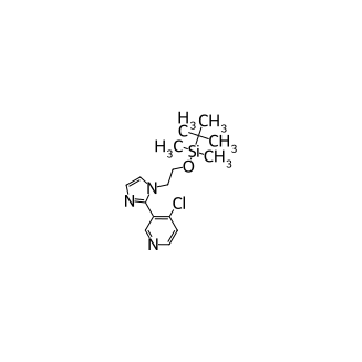 CC(C)(C)[Si](C)(C)OCCn1ccnc1-c1cnccc1Cl